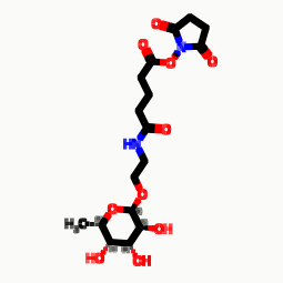 C[C@@H]1O[C@@H](OCCNC(=O)CCCC(=O)ON2C(=O)CCC2=O)[C@@H](O)[C@H](O)[C@@H]1O